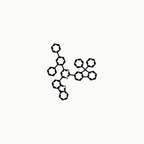 c1ccc(-c2ccc(-c3cc(-c4cccc5c4sc4ccccc45)nc(-c4ccc5c(c4)C(c4ccccc4)(c4ccccc4)c4ccccc4-5)n3)c(-c3ccccc3)c2)cc1